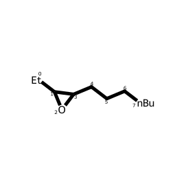 [CH2]CC1OC1CCCCCCC